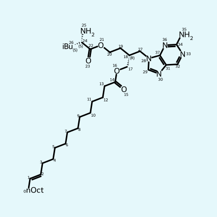 CCCCCCCCC=CCCCCCCCCCCCC(=O)OC[C@H](CCOC(=O)[C@@H](N)[C@@H](C)CC)Cn1cnc2cnc(N)nc21